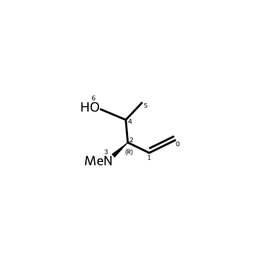 C=C[C@@H](NC)C(C)O